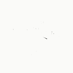 C[Si](C)(C)O[C@@H](CN)c1ccccc1CCl